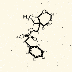 CCC1(COS(=O)(=O)Cc2ccccc2)COCOC1